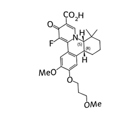 COCCCOc1cc2c(cc1OC)-c1c(F)c(=O)c(C(=O)O)cn1[C@H]1[C@@H]2CCCC1(C)C